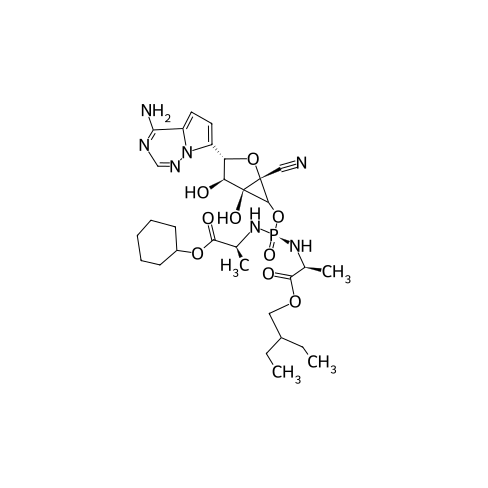 CCC(CC)COC(=O)[C@H](C)N[P@@](=O)(N[C@@H](C)C(=O)OC1CCCCC1)OC1[C@@]2(C#N)O[C@@H](c3ccc4c(N)ncnn34)[C@H](O)[C@@]12O